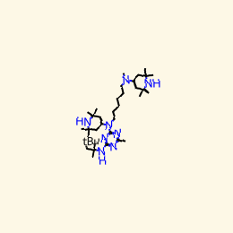 Cc1nc(NC(C)(C)CC(C)(C)C)nc(N(CCCCCCN(C)C2CC(C)(C)NC(C)(C)C2)C2CC(C)(C)NC(C)(C)C2)n1